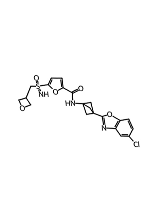 N=S(=O)(CC1COC1)c1ccc(C(=O)NC23CC(c4nc5cc(Cl)ccc5o4)(C2)C3)o1